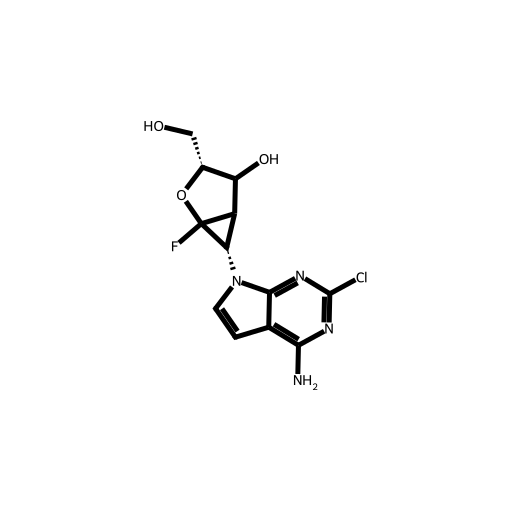 Nc1nc(Cl)nc2c1ccn2[C@H]1C2C(O)[C@@H](CO)OC21F